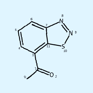 CC(=O)c1cccc2nnsc12